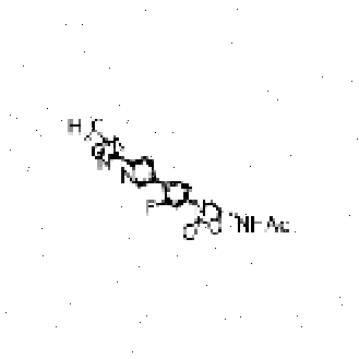 CC(=O)NC[C@H]1CN(c2ccc(-c3ccc(-c4noc(C)n4)nc3)c(F)c2)C(=O)O1